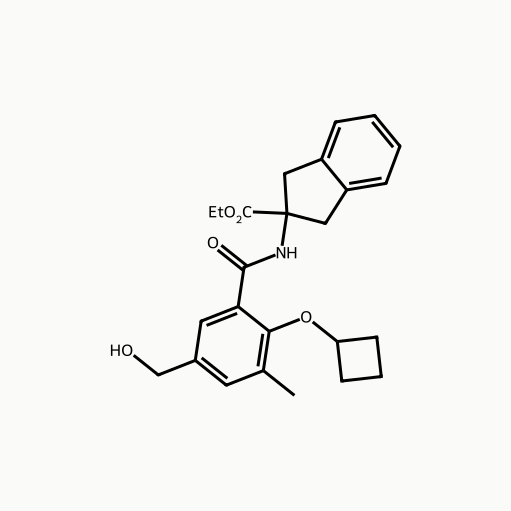 CCOC(=O)C1(NC(=O)c2cc(CO)cc(C)c2OC2CCC2)Cc2ccccc2C1